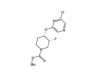 CC(C)(C)OC(=O)N1CC[C@H](Oc2cncc(Cl)n2)[C@H](F)C1